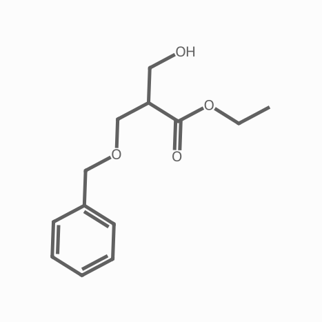 CCOC(=O)C(CO)COCc1ccccc1